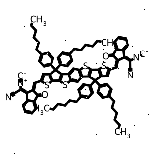 [C-]#[N+]/C(C#N)=C1\C(=C\c2cc3c(s2)-c2sc4cc5c6c(sc5cc4c2C3(c2ccc(CCCCCC)cc2)c2ccc(CCCCCC)cc2)-c2sc(/C=C3\C(=O)c4ccccc4\C3=C(\C#N)[N+]#[C-])cc2C6(c2ccc(CCCCCC)cc2)c2ccc(CCCCCC)cc2)C(=O)c2ccccc21